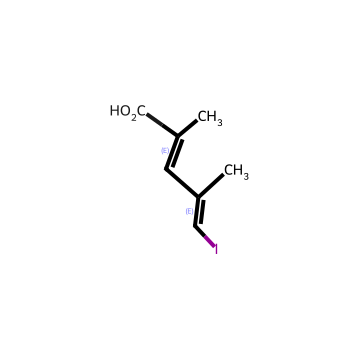 CC(=C\I)/C=C(\C)C(=O)O